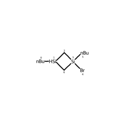 CCCC[SiH]1C[Si](Br)(CCCC)C1